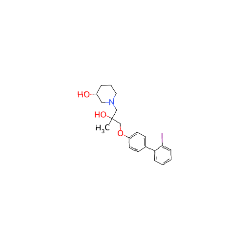 CC(O)(COc1ccc(-c2ccccc2I)cc1)CN1CCCC(O)C1